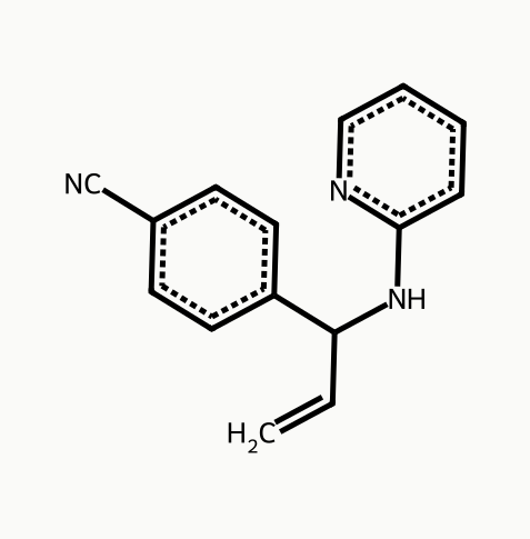 C=CC(Nc1ccccn1)c1ccc(C#N)cc1